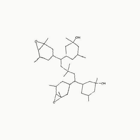 CC1CC(C(CC(C)(C)CC(C2CC(C)CC(C)(O)C2)C2CC(C)C3OC3(C)C2)C2CC(C)C3OC3(C)C2)CC(C)(O)C1